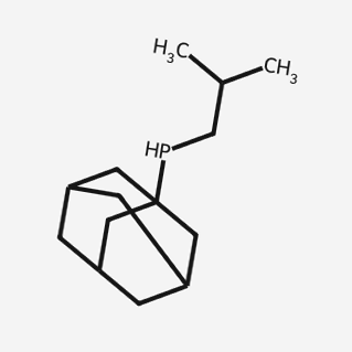 CC(C)CPC12CC3CC(CC(C3)C1)C2